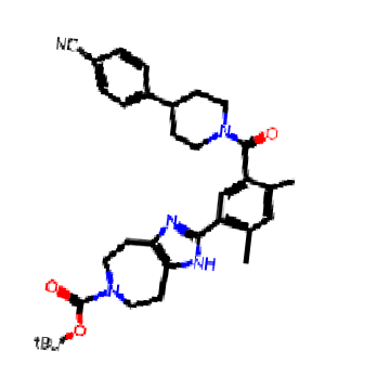 Cc1cc(C)c(-c2nc3c([nH]2)CCN(C(=O)OC(C)(C)C)CC3)cc1C(=O)N1CCC(c2ccc(C#N)cc2)CC1